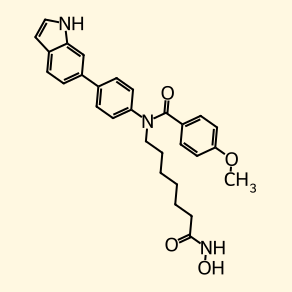 COc1ccc(C(=O)N(CCCCCCC(=O)NO)c2ccc(-c3ccc4cc[nH]c4c3)cc2)cc1